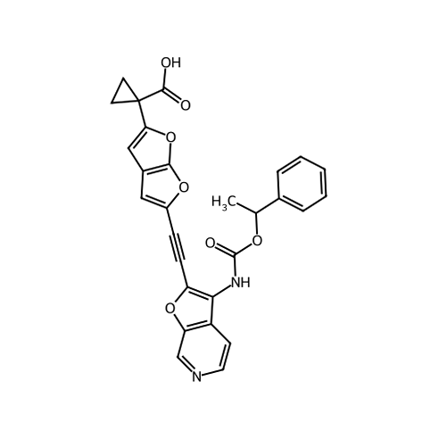 CC(OC(=O)Nc1c(C#Cc2cc3cc(C4(C(=O)O)CC4)oc3o2)oc2cnccc12)c1ccccc1